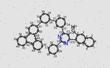 C[SiH]1c2cc3ccccc3cc2-c2nc(-c3ccccc3)nc(-c3cccc(-c4cccc(-c5ccc6c7ccccc7c7ccccc7c6c5)c4)c3)c21